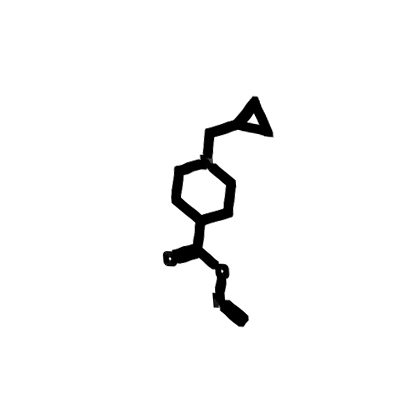 C=NOC(=O)C1CCN(CC2CC2)CC1